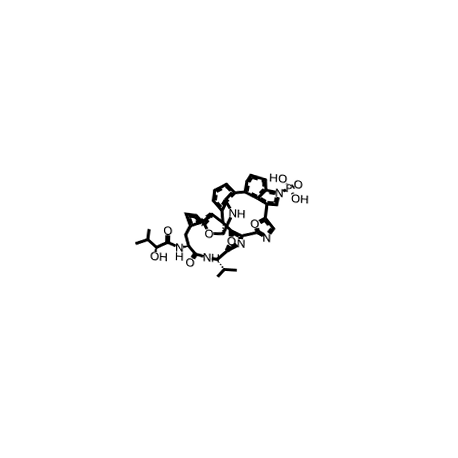 CC(C)[C@H](O)C(=O)N[C@H]1Cc2ccc3c(c2)[C@]24c5cccc(c5NC2O3)-c2cccc3c2c(cn3P(=O)(O)O)-c2cnc(o2)-c2nc(oc24)[C@H](C(C)C)NC1=O